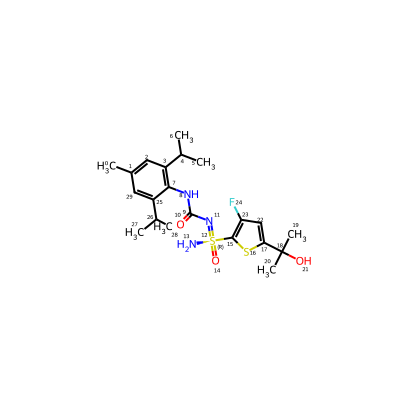 Cc1cc(C(C)C)c(NC(=O)N=[S@@](N)(=O)c2sc(C(C)(C)O)cc2F)c(C(C)C)c1